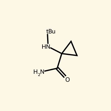 CC(C)(C)NC1(C(N)=O)CC1